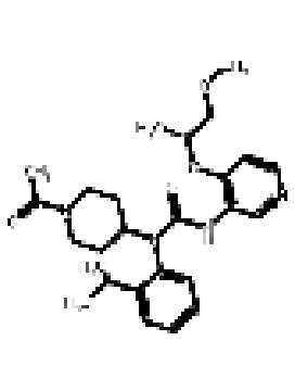 COC[C@H](C)Oc1ccncc1NC(=O)N(c1ccccc1C(C)C)C1CCN(C(C)=O)CC1